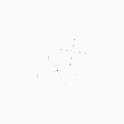 C[N+](C)(C)CC(O)(O)O.[OH-]